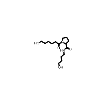 O=C(NCCCCO)C1CCCN1C(=O)CCCCCO